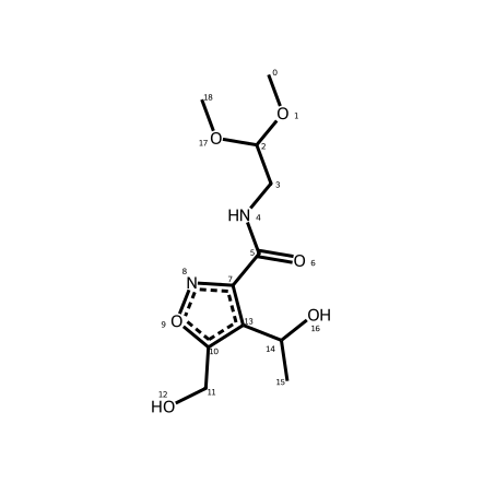 COC(CNC(=O)c1noc(CO)c1C(C)O)OC